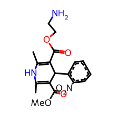 COC(=O)C1=C(C)NC(C)=C(C(=O)OCCN)C1c1ccccc1[N+](=O)[O-]